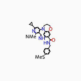 CNc1nc(C2CC2)cc(N2CCCOc3cc(C(=O)NCc4ccc(SC)cc4)ccc32)c1C=N